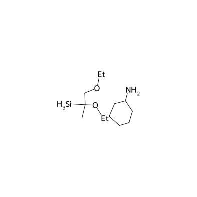 CCOCC(C)([SiH3])OCC.NC1CCCCC1